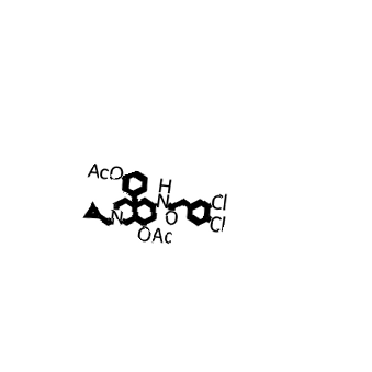 CC(=O)Oc1cccc(C23CCN(CC4CC4)CC2C(OC(C)=O)C[C@H](NC(=O)Cc2ccc(Cl)c(Cl)c2)C3)c1